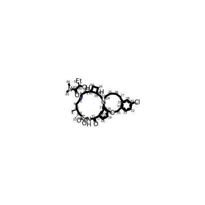 CC[C@@H](O[C@H]1/C=C/C[C@H](C)[C@@H](C)S(=O)(=O)NC(=O)c2ccc3c(c2)N(CCCCc2cc(Cl)ccc2CO3)C[C@@H]2CC[C@H]21)C(=O)N(C)C